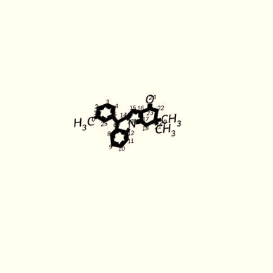 Cc1cccc(C2c3ccccc3-n3c2cc2c3CC(C)(C)CC2=O)c1